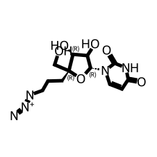 [N-]=[N+]=NCCC[C@]1(CO)O[C@@H](n2ccc(=O)[nH]c2=O)C(O)[C@H]1O